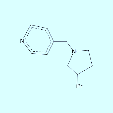 CC(C)C1CCN(Cc2ccncc2)C1